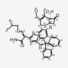 NC(=O)/C(=N\OCC(F)F)c1nsc(NC(c2ccccc2)(c2ccccc2)c2ccccc2)n1.O=C(O)C1=C(CCl)CS[C@@H]2CC(=O)N12